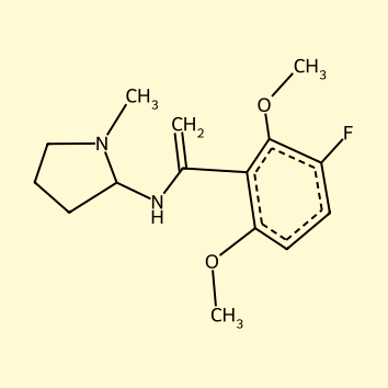 C=C(NC1CCCN1C)c1c(OC)ccc(F)c1OC